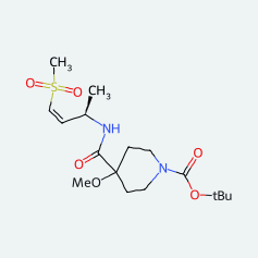 COC1(C(=O)N[C@H](C)/C=C\S(C)(=O)=O)CCN(C(=O)OC(C)(C)C)CC1